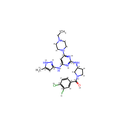 CCN1CCN(c2cc(Nc3cc(C)[nH]n3)nc(N[C@H]3CCN(C(=O)c4ccc(Cl)c(F)c4)C3)n2)CC1